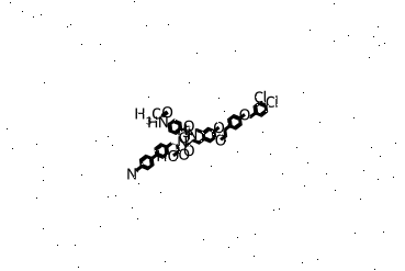 CC(=O)Nc1ccc(S(=O)(=O)N2Cc3cc4c(cc3C[C@H]2C(=O)N[C@@H](Cc2ccc(-c3ccc(C#N)cc3)cc2)C(=O)O)OCC(c2ccc(OCc3ccc(Cl)c(Cl)c3)cc2)O4)cc1